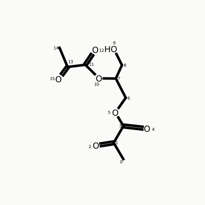 CC(=O)C(=O)OCC(CO)OC(=O)C(C)=O